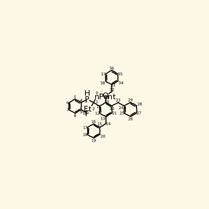 CCCCCC(CC)(Pc1ccccc1F)c1cc(Cc2ccccc2)cc(Cc2ccccc2)c1OCc1ccccc1